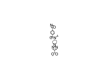 COC(=O)c1cnc(N2CCC(N(C(=O)c3ccc(-c4cnco4)cc3)C3CC3)CC2)nc1